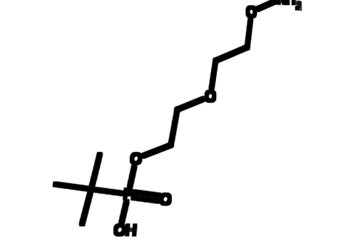 CC(C)(C)P(=O)(O)OCCOCCON